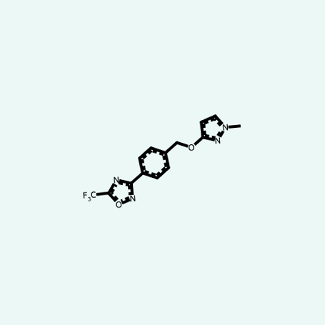 Cn1ccc(OCc2ccc(-c3noc(C(F)(F)F)n3)cc2)n1